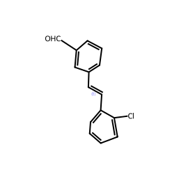 O=Cc1cccc(/C=C/c2ccccc2Cl)c1